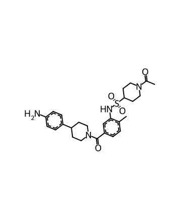 CC(=O)N1CCC(S(=O)(=O)Nc2cc(C(=O)N3CCC(c4ccc(N)cc4)CC3)ccc2C)CC1